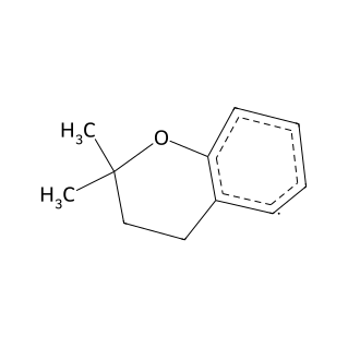 CC1(C)CCc2[c]cccc2O1